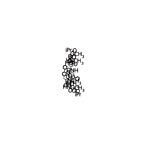 CC(OC(=O)NC(C)P(=O)(O)CC(Cc1ccc(-c2ccccc2)cc1)C(=O)NC(C)C(=O)OC(=O)C(CCc1ccccc1)NC(=O)C(Cc1ccc(Br)cc1)CP(=O)(O)C(C)NC(=O)OC(C)OC(=O)C(C)C)OC(=O)C(C)C